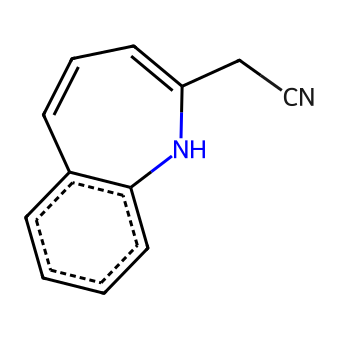 N#CCC1=CC=Cc2ccccc2N1